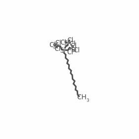 CCCCCCCCCCCCCCCCCC[Si](CC[Si](Cl)(Cl)Cl)(CC[Si](Cl)(Cl)Cl)CC[Si](Cl)(Cl)Cl